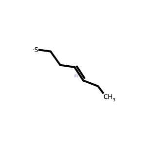 CC/C=C/CC[S]